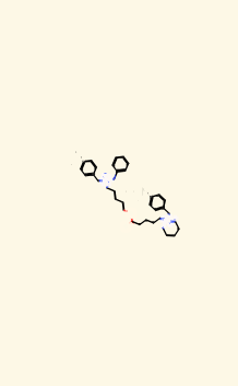 C[N+](CCCCCOC(=O)CCCC[N+]1(Cc2ccc([N+](=O)[O-])cc2)CCCCC1)(Cc1ccccc1)Cc1ccc([N+](=O)[O-])cc1